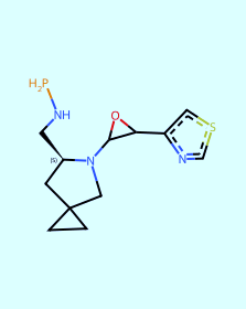 PNC[C@@H]1CC2(CC2)CN1C1OC1c1cscn1